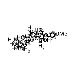 COc1ccc(COC2C(CO)OC(OC3C(N)C[C@@H](N)C(O)C3OC3CC(OC4OC(CN)C(O)C(O)C4N)[C@@H](CO)O3)C(N)C2O)cc1